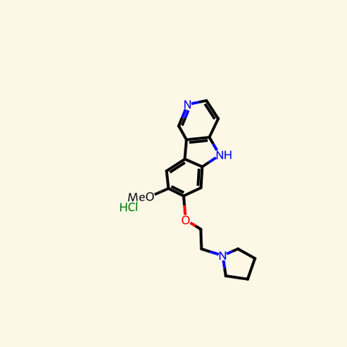 COc1cc2c(cc1OCCN1CCCC1)[nH]c1ccncc12.Cl